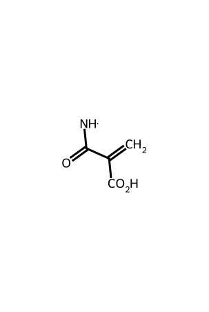 C=C(C([NH])=O)C(=O)O